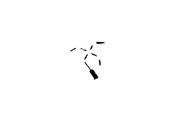 C#C[SiH2][Si](OCC)(OCC)OCC